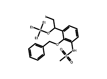 CC[Si](CC)(CC)OC(CI)c1cccc(NS(C)(=O)=O)c1OCc1ccccc1